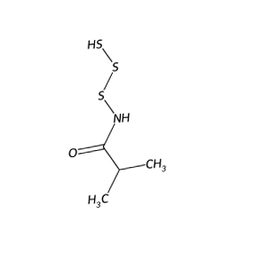 CC(C)C(=O)NSSS